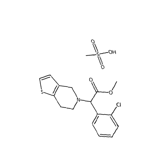 COC(=O)C(c1ccccc1Cl)N1CCc2sccc2C1.CS(=O)(=O)O